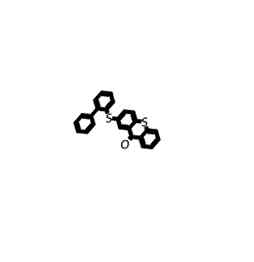 O=c1c2ccccc2sc2ccc(Sc3ccccc3-c3ccccc3)cc12